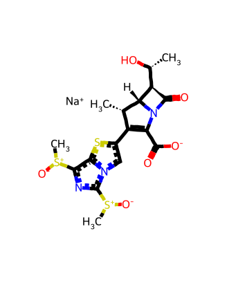 C[C@@H](O)[C@H]1C(=O)N2C(C(=O)[O-])=C(c3cn4c([S+](C)[O-])nc([S+](C)[O-])c4s3)[C@H](C)[C@H]12.[Na+]